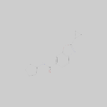 O=C(NC1CCCC1)c1ccc2nc(C3CC3)oc2c1